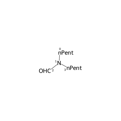 CCCCCN(C=O)CCCCC